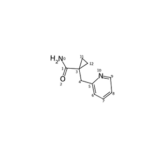 NC(=O)C1(Cc2ccccn2)CC1